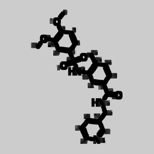 COc1ccc(S(=O)(=O)Nc2cc(C(=O)NCc3cccnc3)ccc2C)cc1OC